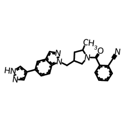 CC1CC(Cn2ncc3cc(-c4cn[nH]c4)ccc32)CN1C(=O)c1ccccc1C#N